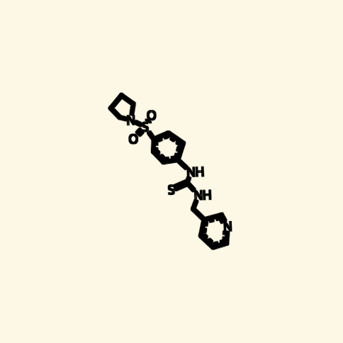 O=S(=O)(c1ccc(NC(=S)NCc2cccnc2)cc1)N1CCCC1